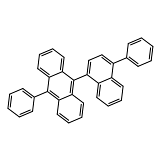 c1ccc(-c2ccc(-c3c4ccccc4c(-c4ccccc4)c4ccccc34)c3ccccc23)cc1